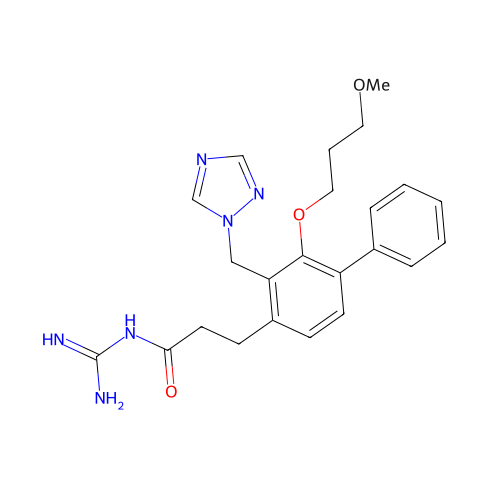 COCCCOc1c(-c2ccccc2)ccc(CCC(=O)NC(=N)N)c1Cn1cncn1